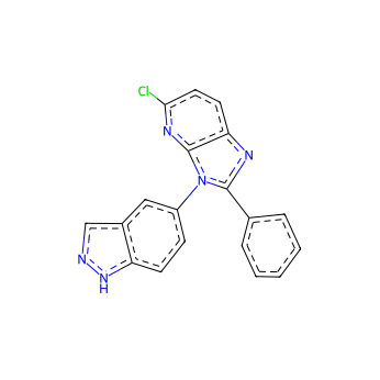 Clc1ccc2nc(-c3ccccc3)n(-c3ccc4[nH]ncc4c3)c2n1